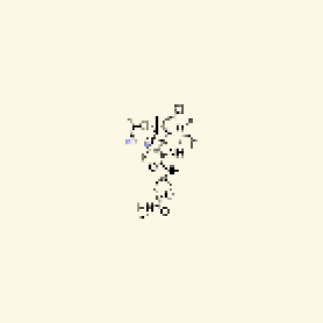 C=C(Cl)/C=C\C=C(/F)[C@H]1[C@H](C(=O)N[C@@H]2CC[C@@H](C(=O)NCC)OC2)NC2(CC(CF)(CF)C2)[C@@]12C(=O)Nc1cc(Cl)ccc12